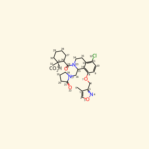 Cc1conc1COc1ccc(Cl)c2c1C(CN1CCCC1=O)N(C(=O)C1CCCC[C@]1(C)C(=O)O)CC2